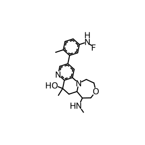 CNC1COCCN2c3cc(-c4cc(NF)ccc4C)cnc3C(C)(O)CC12